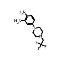 Nc1ccc(N2CCN(CC(F)(F)F)CC2)cc1N